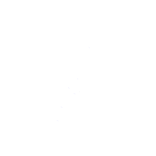 C=NN(CCN1CCNCC1)C(=O)c1c(C)c2ccc(Oc3cccc(F)n3)cc2n1C